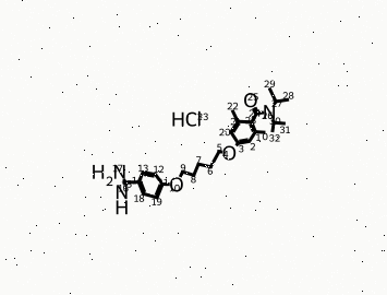 Cc1cc(OCCCCCOc2ccc(C(=N)N)cc2)cc(C)c1C(=O)N(C(C)C)C(C)C.Cl